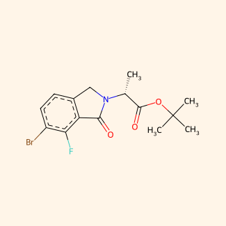 C[C@H](C(=O)OC(C)(C)C)N1Cc2ccc(Br)c(F)c2C1=O